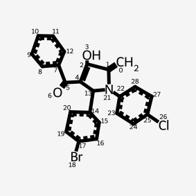 C=C1C(O)=C(C(=O)c2ccccc2)C(c2ccc(Br)cc2)N1c1ccc(Cl)cc1